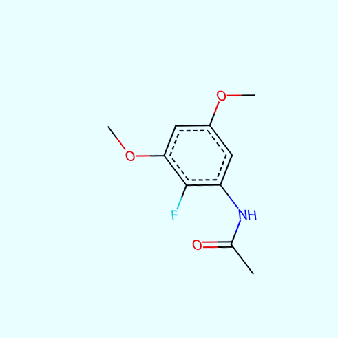 COc1cc(NC(C)=O)c(F)c(OC)c1